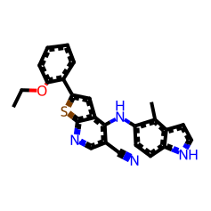 CCOc1ccccc1-c1cc2c(Nc3ccc4[nH]ccc4c3C)c(C#N)cnc2s1